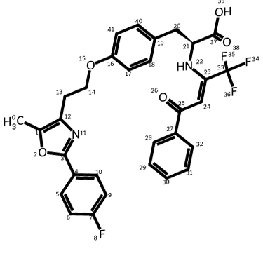 Cc1oc(-c2ccc(F)cc2)nc1CCOc1ccc(C[C@H](N/C(=C\C(=O)c2ccccc2)C(F)(F)F)C(=O)O)cc1